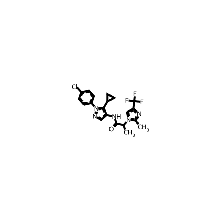 Cc1nc(C(F)(F)F)cn1C(C)C(=O)Nc1cnn(-c2ccc(Cl)cc2)c1C1CC1